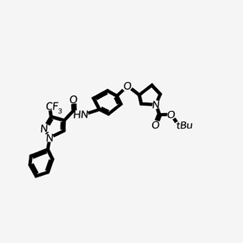 CC(C)(C)OC(=O)N1CCC(Oc2ccc(NC(=O)c3cn(-c4ccccc4)nc3C(F)(F)F)cc2)C1